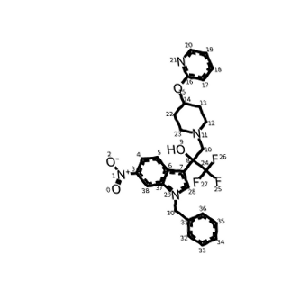 O=[N+]([O-])c1ccc2c(C(O)(CN3CCC(Oc4ccccn4)CC3)C(F)(F)F)cn(Cc3ccccc3)c2c1